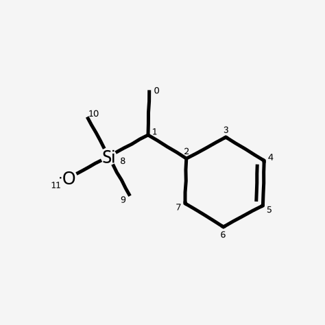 CC(C1CC=CCC1)[Si](C)(C)[O]